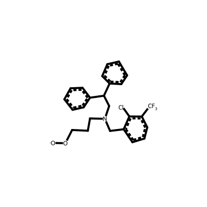 [O]OCCCN(Cc1cccc(C(F)(F)F)c1Cl)CC(c1ccccc1)c1ccccc1